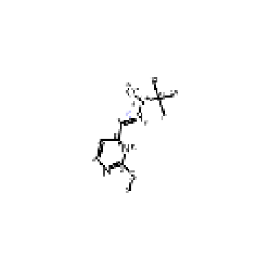 CSc1nccc(/C=N/[S+]([O-])C(C)(C)C)n1